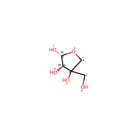 OCC1(O)CO[C@@H](O)[C@@H]1O